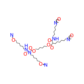 N#COCCCCCCNC(=O)N(CCCCCCOC#N)C(=O)OCCCCCCOC(=O)C(CCCCCCN=C=O)C(=O)NCCCCCCN=C=O